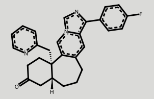 O=C1CC[C@@]2(Cc3ccccn3)c3cn4cnc(-c5ccc(F)cc5)c4cc3CCC[C@@H]2C1